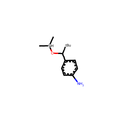 C[SiH](C)OC(c1ccc(N)cc1)C(C)(C)C